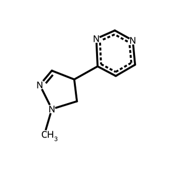 CN1CC(c2ccncn2)C=N1